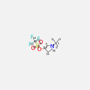 CC(C)(C)N1C=C(OS(=O)(=O)C(F)(F)F)CC1